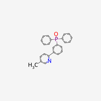 Cc1ccc(-c2cccc(P(=O)(c3ccccc3)c3ccccc3)c2)nc1